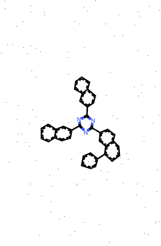 c1ccc(-c2cccc3ccc(-c4nc(-c5ccc6ccccc6c5)nc(-c5ccc6ccccc6c5)n4)cc23)cc1